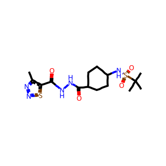 Cc1nnsc1C(=O)NNC(=O)C1CCC(NS(=O)(=O)C(C)(C)C)CC1